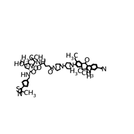 CCc1cc2c(cc1N1CCC(N3CCN(C(=O)CCCC(=O)N[C@H](C(=O)N4C[C@H](O)C[C@H]4C(=O)NCc4ccc(-c5scnc5C)cc4)C(C)(C)C)CC3)CC1)C(C)(C)c1[nH]c3cc(C#N)ccc3c1C2=O